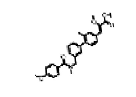 CO/C(=C\c1ccc(-c2cccc(CN(C)C(=O)c3ccc(OC)cc3)c2)c(C)c1)C(=O)O